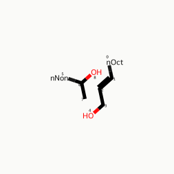 CCCCCCCCC=CCO.CCCCCCCCCC(C)O